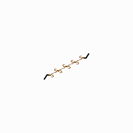 CCSSSSSSSSCC